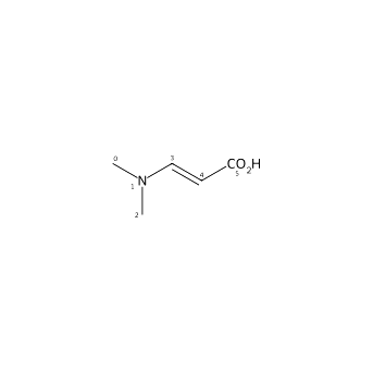 CN(C)/C=C/C(=O)O